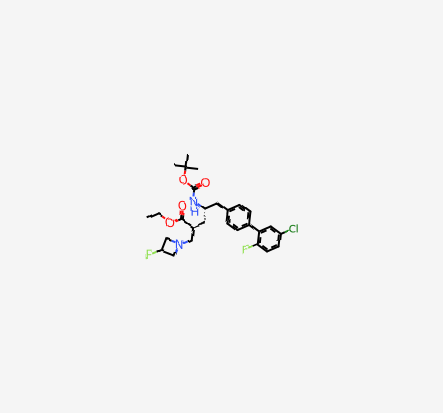 CCOC(=O)[C@@H](C[C@@H](Cc1ccc(-c2cc(Cl)ccc2F)cc1)NC(=O)OC(C)(C)C)CN1CC(F)C1